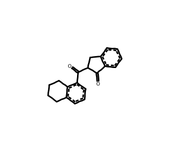 O=C1c2ccccc2CC1C(=O)c1cccc2c1CCCC2